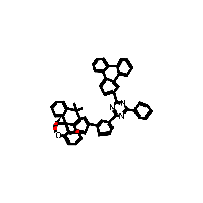 CC1(C)c2ccccc2C2(c3ccccc3Oc3ccccc32)c2ccc(-c3cccc(-c4nc(-c5ccccc5)nc(-c5ccc6c7ccccc7c7ccccc7c6c5)n4)c3)cc21